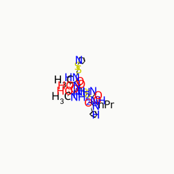 CCCC(=O)N[C@H](Cc1ccccc1)C(=O)N[C@@H](CSSC[C@H](NC(=O)[C@@H](N)[C@@H](C)O)C(=O)N[C@H](C(=O)NCCSSc1ccccn1)[C@@H](C)O)C(N)=O